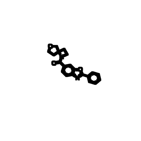 O=C(c1ccc2nc(-c3ccccc3)oc2c1)N1CCC12CCOC2